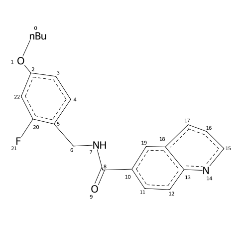 CCCCOc1ccc(CNC(=O)c2ccc3ncccc3c2)c(F)c1